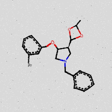 CC1OC([C@H]2CN(Cc3ccccc3)CC2Oc2cccc(C(C)C)c2)O1